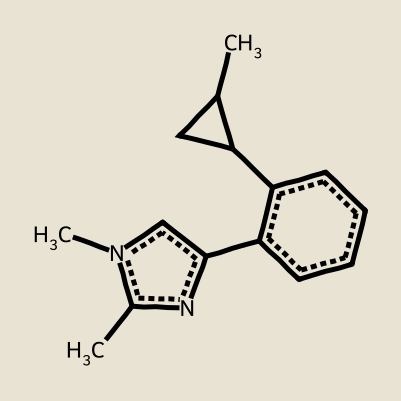 Cc1nc(-c2ccccc2C2CC2C)cn1C